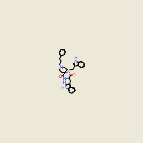 O=C1C(Cc2c[nH]c3ccccc23)NC(=O)C2(CCN(CCCc3ccccc3)CC2)N1CCc1c[nH]c2ccccc12